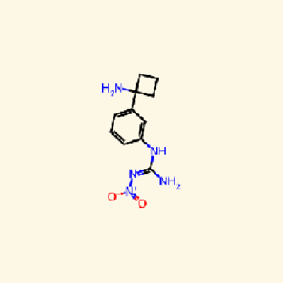 NC(=N[N+](=O)[O-])Nc1cccc(C2(N)CCC2)c1